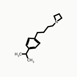 CC(C)c1ccc(CCCCN2CCC2)cc1